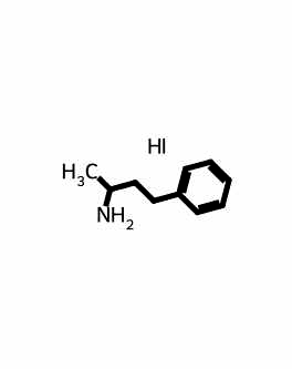 CC(N)CCc1ccccc1.I